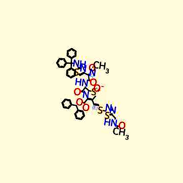 CO/N=C(/C(=O)NC1C(=O)N2C(C(=O)OC(c3ccccc3)c3ccccc3)=C(/C=C/Sc3nnc(CNC(C)=O)s3)C[S+]([O-])C12)c1csc(NC(c2ccccc2)(c2ccccc2)c2ccccc2)n1